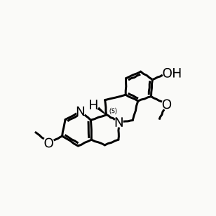 COc1cnc2c(c1)CCN1Cc3c(ccc(O)c3OC)C[C@@H]21